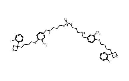 O=[PH](OCCCNCc1ccc(SCCCCC2(c3ccccc3F)COC2)c(C(F)(F)F)c1)OCCCNCc1ccc(SCCCCC2(c3ccccc3F)COC2)c(C(F)(F)F)c1